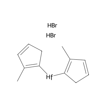 Br.Br.CC1=[C]([Hf][C]2=C(C)C=CC2)CC=C1